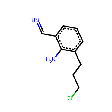 N=Cc1cccc(CCCCl)c1N